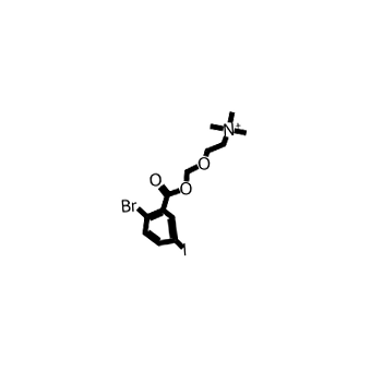 C[N+](C)(C)CCOCOC(=O)c1cc(I)ccc1Br